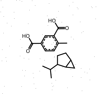 CC(C)C1CCC2CC21.Cc1ccc(C(=O)O)cc1C(=O)O